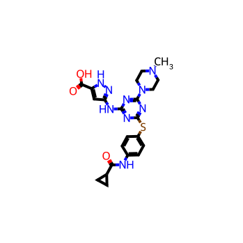 CN1CCN(c2nc(Nc3cc(C(=O)O)[nH]n3)nc(Sc3ccc(NC(=O)C4CC4)cc3)n2)CC1